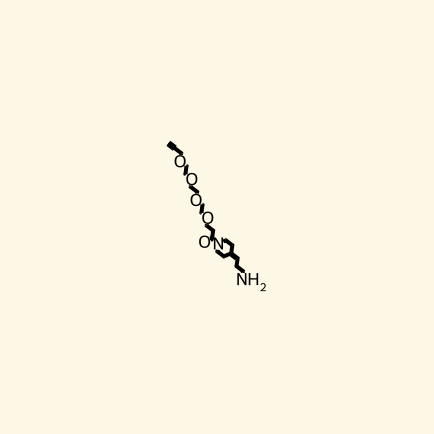 C#CCOCCOCCOCCOCCC(=O)N1CCC(=CCCN)CC1